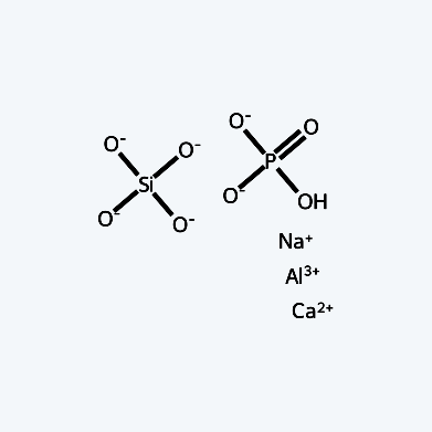 O=P([O-])([O-])O.[Al+3].[Ca+2].[Na+].[O-][Si]([O-])([O-])[O-]